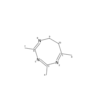 CC1=NC(C)=N/C(C)=N\CC1